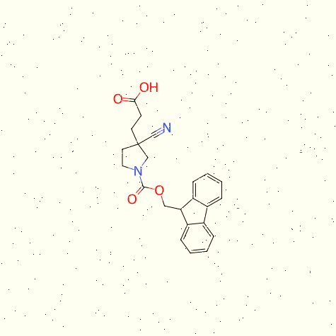 N#CC1(CCC(=O)O)CCN(C(=O)OCC2c3ccccc3-c3ccccc32)C1